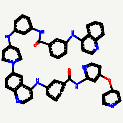 O=C(Nc1cccc(Nc2cc[n+](-c3ccc4nccc(Nc5cccc(C(=O)Nc6cc(Oc7ccncc7)ccn6)c5)c4c3)cc2)c1)c1cccc(Nc2ccnc3ccccc23)c1